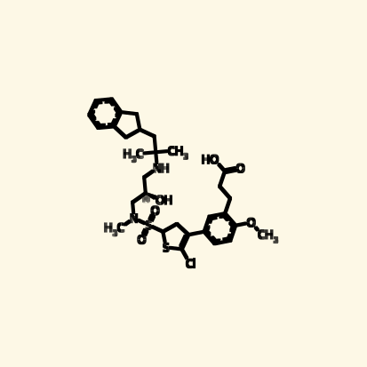 COc1ccc(C2=C(Cl)SC(S(=O)(=O)N(C)C[C@H](O)CNC(C)(C)CC3Cc4ccccc4C3)C2)cc1CCC(=O)O